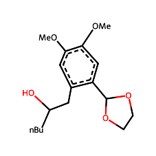 CCCCC(O)Cc1cc(OC)c(OC)cc1C1OCCO1